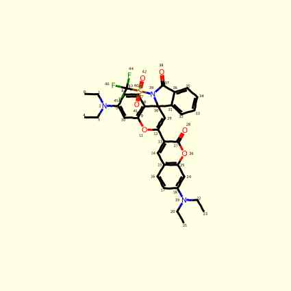 CCN(CC)c1ccc2c(c1)OC(c1cc3ccc(N(CC)CC)cc3oc1=O)=CC21c2ccccc2C(=O)N1S(=O)(=O)C(F)(F)F